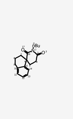 CCCCN1C(=O)CCC2(CCCc3ccccc32)C1=O